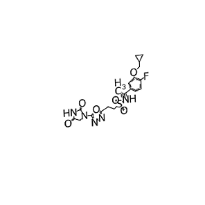 C[C@@H](NS(=O)(=O)CCc1nnc(N2CC(=O)NC2=O)o1)c1ccc(F)c(OCC2CC2)c1